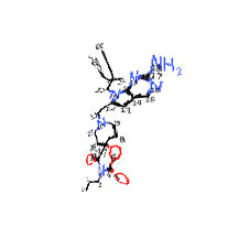 CCCN1C(=O)OC2(CCN(Cc3cc4cnc(N)nc4n3CC(C)(C)C)CC2)C1=O